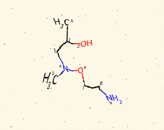 CC(O)CN(C)OCCN